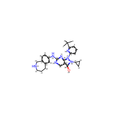 CC(C)(C)c1cccc(-n2c3nc(Nc4ccc5c(c4)CCCNC5)ncc3c(=O)n2C2CC2)n1